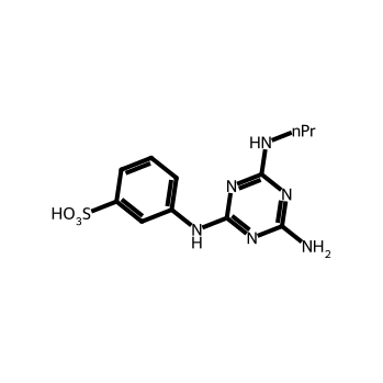 CCCNc1nc(N)nc(Nc2cccc(S(=O)(=O)O)c2)n1